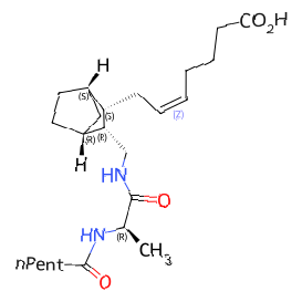 CCCCCC(=O)N[C@H](C)C(=O)NC[C@@H]1[C@@H]2CC[C@@H](C2)[C@@H]1C/C=C\CCCC(=O)O